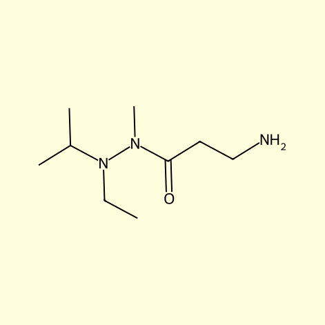 CCN(C(C)C)N(C)C(=O)CCN